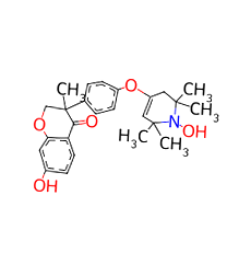 CC1(c2ccc(OC3=CC(C)(C)N(O)C(C)(C)C3)cc2)COc2cc(O)ccc2C1=O